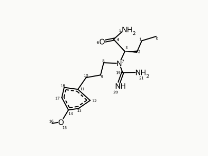 CCC[C@H](C(N)=O)N(CCCc1ccc(OC)cc1)C(=N)N